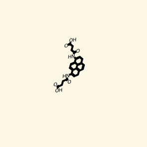 O=C(O)CCC(=O)NC1=CCc2ccc3c4c(ccc1c24)C(NC(=O)CCC(=O)O)=CC3